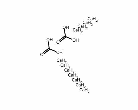 O=C(O)O.O=C(O)O.[CaH2].[CaH2].[CaH2].[CaH2].[CaH2].[CaH2].[CaH2].[CaH2].[CaH2].[CaH2].[CaH2]